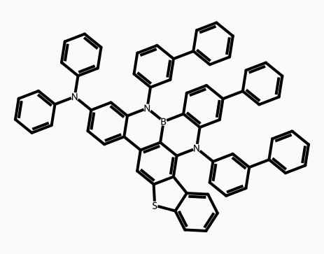 c1ccc(-c2cccc(N3B4c5ccc(-c6ccccc6)cc5N(c5cccc(-c6ccccc6)c5)c5c4c(cc4sc6ccccc6c54)-c4ccc(N(c5ccccc5)c5ccccc5)cc43)c2)cc1